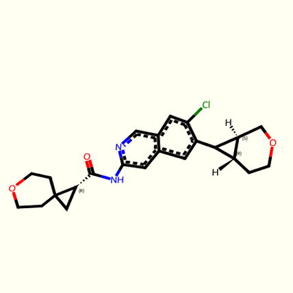 O=C(Nc1cc2cc(C3[C@H]4CCOC[C@H]34)c(Cl)cc2cn1)[C@@H]1CC12CCOCC2